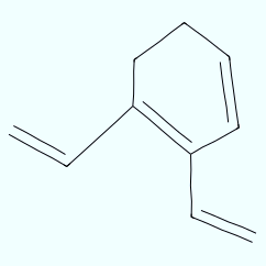 C=CC1=C(C=C)CCC=C1